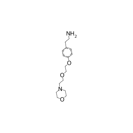 NCCc1ccc(OCCOCCN2CCOCC2)cc1